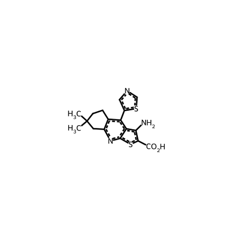 CC1(C)CCc2c(nc3sc(C(=O)O)c(N)c3c2-c2cncs2)C1